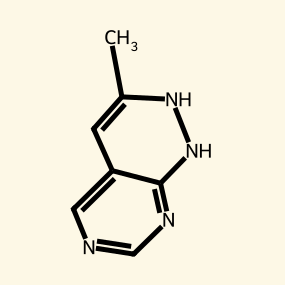 CC1=Cc2cncnc2NN1